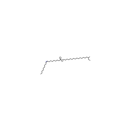 CCCCCCCC/C=C\CCCCCCCC(=O)OCCCCCCCCCCCCCCCC(C)CC